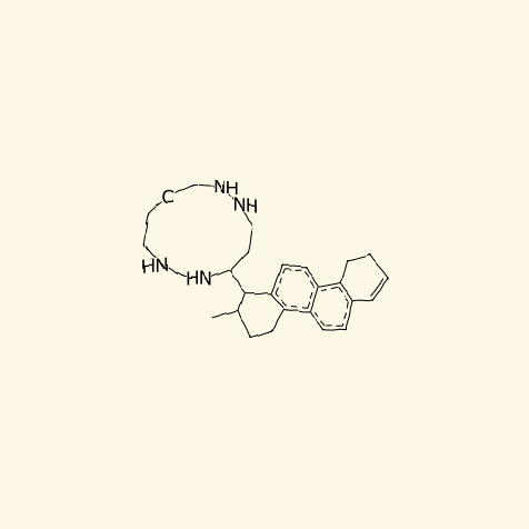 CC1CCc2c(ccc3c4c(ccc23)C=CCC4)C1C1CCNNCCCCNCN1